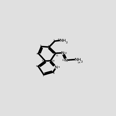 NCc1ccc2cccnc2c1N=NN